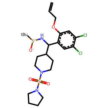 C=CCOc1cc(Cl)c(Cl)cc1C(N[S+]([O-])C(C)(C)C)C1CCN(S(=O)(=O)N2CCCC2)CC1